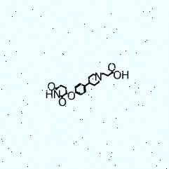 O=C(O)CCN1CCC(c2ccc(OC3CCC(=O)NC3=O)cc2)CC1